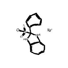 O=S(=O)([O-])C1(c2ccccc2)Nc2ccccc2N1.[Na+]